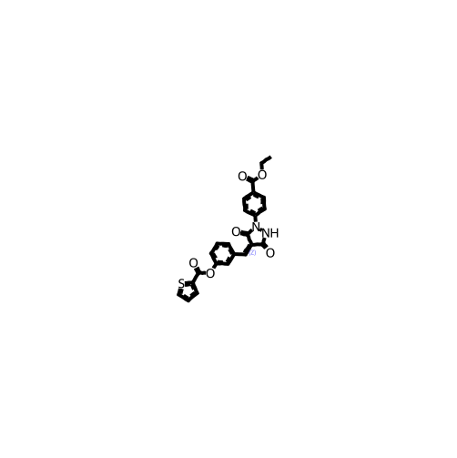 CCOC(=O)c1ccc(N2NC(=O)/C(=C/c3cccc(OC(=O)c4cccs4)c3)C2=O)cc1